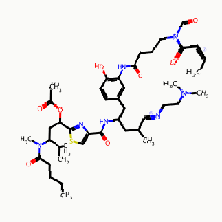 C/C=C\C(=O)N(C=O)CCCC(=O)Nc1cc(CC(CC(C)/C=N/CCN(C)C)NC(=O)c2csc(C(CC(C(C)C)N(C)C(=O)CCCC)OC(C)=O)n2)ccc1O